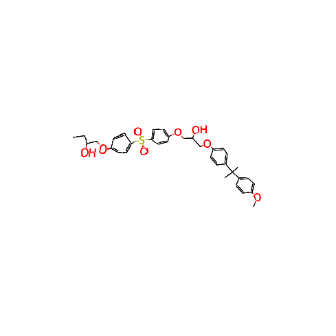 CCC(O)COc1ccc(S(=O)(=O)c2ccc(OCC(O)COc3ccc(C(C)(C)c4ccc(OC)cc4)cc3)cc2)cc1